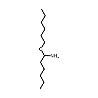 CCCCCCOC(N)CCCCC